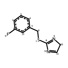 Fc1cccc(CSC2=NCC=N2)c1